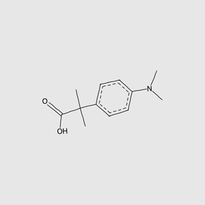 CN(C)c1ccc(C(C)(C)C(=O)O)cc1